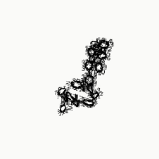 c1ccc(-c2nc(-c3ccccc3)nc(-c3cccc(-c4cccc(-n5c6ccccc6c6cc(-c7ccc8c(c7)C7(c9ccccc9-c9ccccc97)c7c-8ccc8c7Oc7ccccc7O8)ccc65)c4)c3)n2)cc1